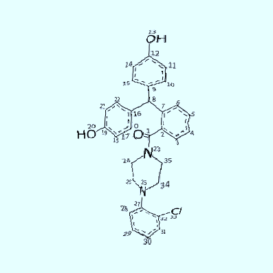 O=C(c1ccccc1C(c1ccc(O)cc1)c1ccc(O)cc1)N1CCN(c2ccccc2Cl)CC1